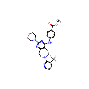 COC(=O)c1ccc(Nc2nc(N3CCOCC3)nc3c2CCN(c2ncccc2C(F)(F)F)CC3)cc1